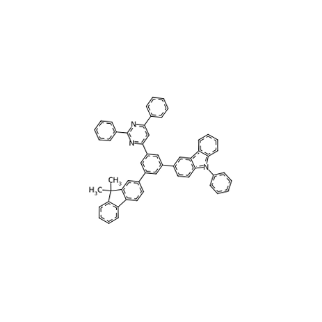 CC1(C)c2ccccc2-c2ccc(-c3cc(-c4ccc5c(c4)c4ccccc4n5-c4ccccc4)cc(-c4cc(-c5ccccc5)nc(-c5ccccc5)n4)c3)cc21